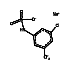 O=S(=O)([O-])Nc1cc(Cl)cc(C(F)(F)F)c1.[Na+]